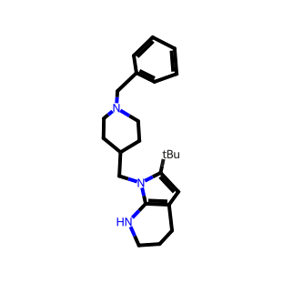 CC(C)(C)c1cc2c(n1CC1CCN(Cc3ccccc3)CC1)NCCC2